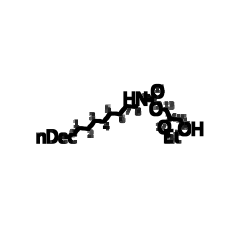 CCCCCCCCCCCCCCCCCCNC(=O)OCC(CO)OCC